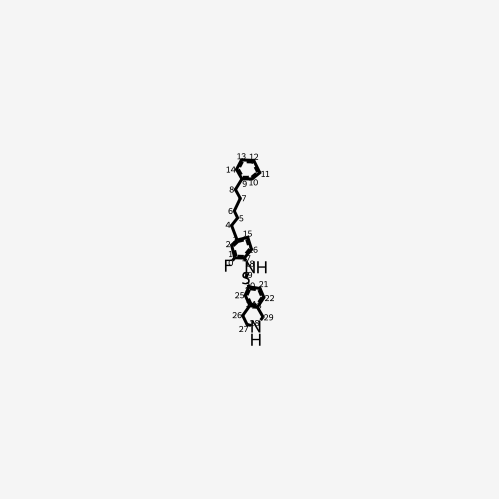 Fc1cc(CCCCCc2ccccc2)ccc1NSc1ccc2c(c1)CCNC2